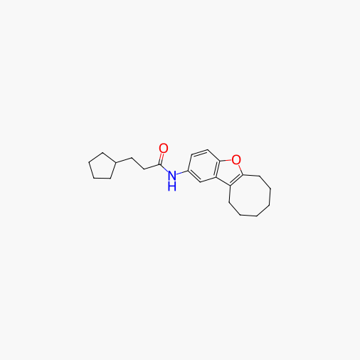 O=C(CCC1CCCC1)Nc1ccc2oc3c(c2c1)CCCCCC3